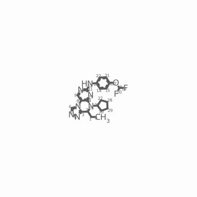 CCC1c2nncn2-c2cnc(Nc3ccc(OC(F)F)cc3)nc2N1C1CCCC1